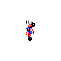 Cc1cccc(CC(=O)n2cncc(NC(=O)OCc3ccccc3)c2=O)c1